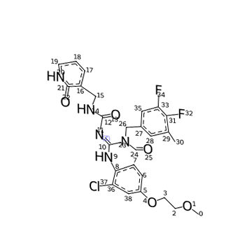 COCCOc1ccc(N/C(=N/C(=O)NCc2ccc[nH]c2=O)N(C=O)Cc2cc(C)c(F)c(F)c2)c(Cl)c1